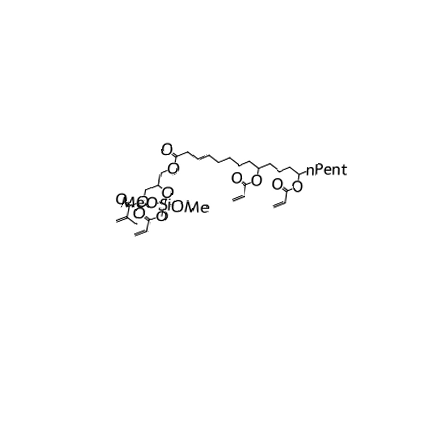 C=CC(=O)OC(CCCCC)CCCC(CCCCCCCC(=O)OCC(COC(=O)C(=C)C)O[Si](OC)(OC)OC(=O)C=C)OC(=O)C=C